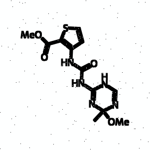 COC(=O)c1sccc1NC(=O)NC1=NC(C)(OC)N=CN1